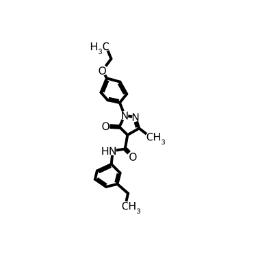 CCOc1ccc(N2N=C(C)C(C(=O)Nc3cccc(CC)c3)C2=O)cc1